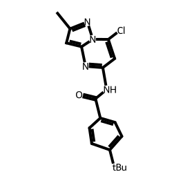 Cc1cc2nc(NC(=O)c3ccc(C(C)(C)C)cc3)cc(Cl)n2n1